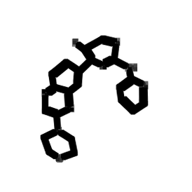 Fc1cnc(Nc2cc[c]cn2)nc1-c1ccc2ncc(N3CCOCC3)nc2c1